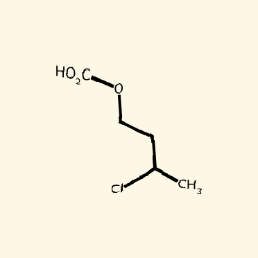 CC(Cl)CCOC(=O)O